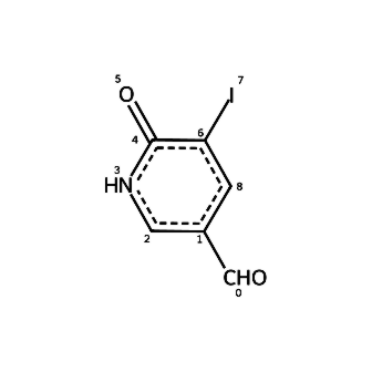 O=Cc1c[nH]c(=O)c(I)c1